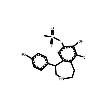 CS(=O)(=O)Oc1cc2c(c(Cl)c1O)CCNCC2c1ccc(O)cc1